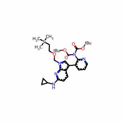 CC(C)(C)OC(=O)N(C(=O)OC(C)(C)C)c1ncccc1-c1cn(COCC[Si](C)(C)C)c2nc(NC3CC3)ccc12